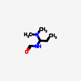 CCC(NC=O)N(C)C